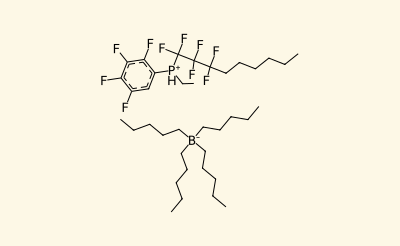 CCCCCCC(F)(F)C(F)(F)C(F)(F)[PH+](CC)c1cc(F)c(F)c(F)c1F.CCCCC[B-](CCCCC)(CCCCC)CCCCC